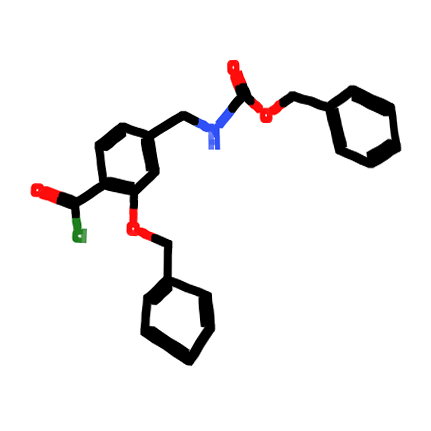 O=C(NCc1ccc(C(=O)Cl)c(OCc2ccccc2)c1)OCc1ccccc1